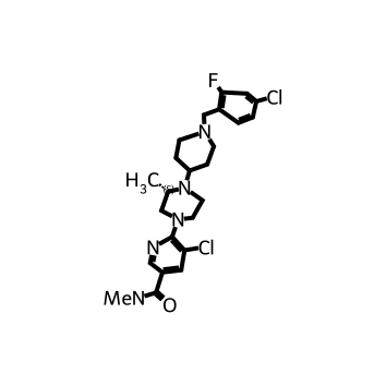 CNC(=O)c1cnc(N2CCN(C3CCN(Cc4ccc(Cl)cc4F)CC3)[C@@H](C)C2)c(Cl)c1